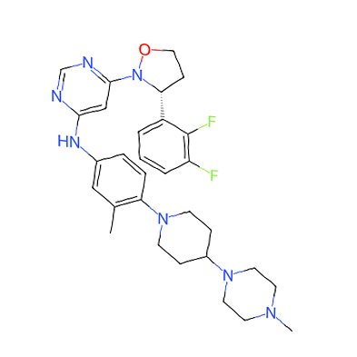 Cc1cc(Nc2cc(N3OCC[C@@H]3c3cccc(F)c3F)ncn2)ccc1N1CCC(N2CCN(C)CC2)CC1